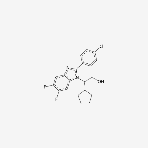 OCC(C1CCCC1)n1c(-c2ccc(Cl)cc2)nc2cc(F)c(F)cc21